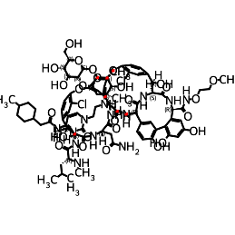 CN[C@H](CC(C)C)C(=O)N[C@H]1C(=O)N[C@@H](CC(N)=O)C(=O)N[C@H]2C(=O)N[C@H]3C(=O)N[C@H](C(=O)N[C@@H](C(=O)NOCCOC)c4cc(O)cc(O)c4-c4cc3ccc4O)[C@H](O)c3ccc(c(Cl)c3)Oc3cc2cc(c3O[C@@H]2O[C@H](CO)[C@@H](O)[C@H](O)[C@H]2O[C@H]2C[C@](C)(NCCn3ccc(NC(=O)CC4CCC(C)CC4)nc3=O)[C@H](O)[C@H](C)O2)Oc2ccc(cc2Cl)[C@H]1O